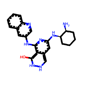 N[C@H]1CCCC[C@H]1Nc1cc2c(c(Nc3cnc4ccccc4c3)n1)=C(O)NNC=2